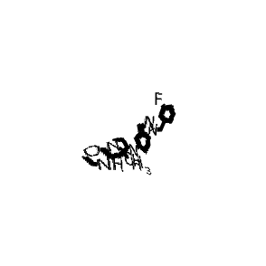 CC1(CC2COCCN2)N=CC=C1Nc1ccc2c(cnn2Cc2cccc(F)c2)c1